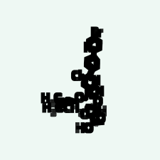 C[Si](C)(C)CCOCn1c(O[C@@H]2COC3[C@H](O)CO[C@@H]32)nc2nc(-c3ccc(-c4ccc(Br)cn4)cc3)c(Cl)cc21